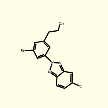 CCc1cc(CCO)cc(-n2nc3ccc(Cl)cc3n2)c1